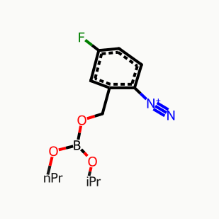 CCCOB(OCc1cc(F)ccc1[N+]#N)OC(C)C